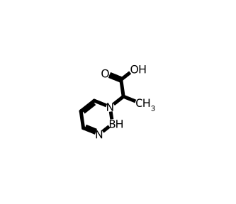 CC(C(=O)O)N1BN=CC=C1